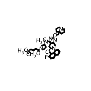 CN(C)C/C=C/C(=O)N1CC[C@@H](N(C)c2nc(OCC34CCCN3CCC4)nc3c2CCN(c2cccc4ccc(F)c(Cl)c24)C3)C1